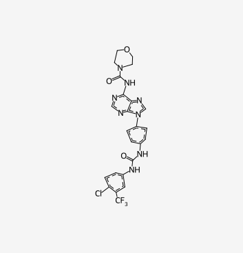 O=C(Nc1ccc(-n2cnc3c(NC(=O)N4CCOCC4)ncnc32)cc1)Nc1ccc(Cl)c(C(F)(F)F)c1